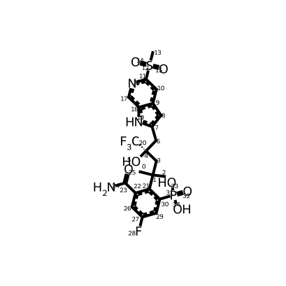 CC(C)(C[C@@](O)(Cc1cc2cc(S(C)(=O)=O)ncc2[nH]1)C(F)(F)F)c1c(C(N)=O)cc(F)cc1P(=O)(O)O